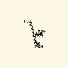 CCCCCCCCCCCCOS(=O)(=O)O.N.O=S(=O)(O)O